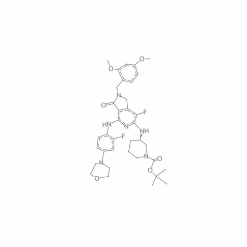 COc1ccc(CN2Cc3c(F)c(N[C@@H]4CCCN(C(=O)OC(C)(C)C)C4)nc(Nc4ccc(N5CCOCC5)cc4F)c3C2=O)c(OC)c1